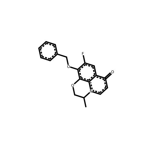 CC1COc2c(OCc3ccccc3)c(F)cc3c(=O)ccn1c23